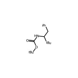 CC(C)CC(NC(=O)OC(C)(C)C)C(C)(C)C